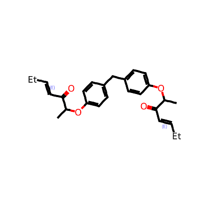 CC/C=C/C(=O)C(C)Oc1ccc(Cc2ccc(OC(C)C(=O)/C=C/CC)cc2)cc1